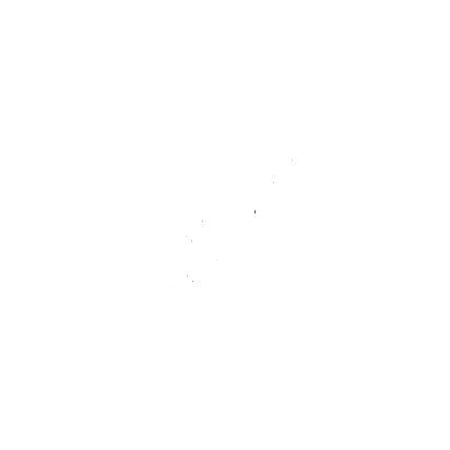 CC(C)c1nc2sccc2c(=O)n1NC(=O)C[C@@H]1CC[C@H]2C[C@@H]1C2(C)C